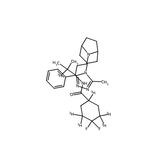 [2H]C1(C(=O)NC(CCN2C3CCC2CC(n2c(C)nnc2C([2H])(C)C)C3)c2ccccc2)CC([2H])([2H])C(F)(F)C([2H])([2H])C1